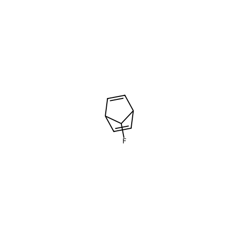 FC1C2C=CC1C=C2